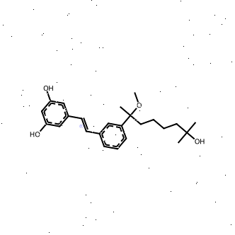 COC(C)(CCCCC(C)(C)O)c1cccc(/C=C/c2cc(O)cc(O)c2)c1